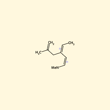 C=C(C)CC(/C=C\NC)=C/C